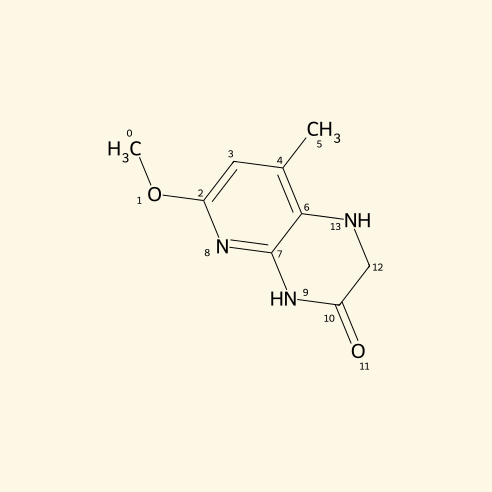 COc1cc(C)c2c(n1)NC(=O)CN2